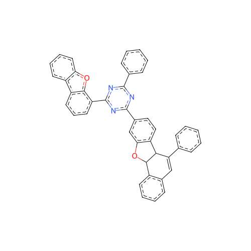 C1=C(c2ccccc2)C2c3ccc(-c4nc(-c5ccccc5)nc(-c5cccc6c5oc5ccccc56)n4)cc3OC2c2ccccc21